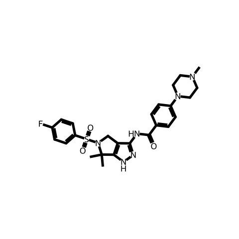 CN1CCN(c2ccc(C(=O)Nc3n[nH]c4c3CN(S(=O)(=O)c3ccc(F)cc3)C4(C)C)cc2)CC1